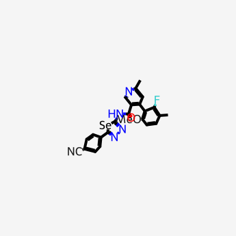 COc1ccc(C)c(F)c1-c1cc(C)ncc1C(=O)Nc1nnc(-c2ccc(C#N)cc2)[se]1